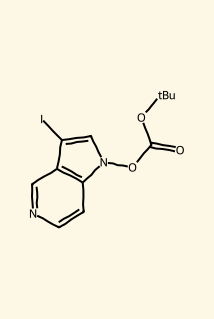 CC(C)(C)OC(=O)On1cc(I)c2cnccc21